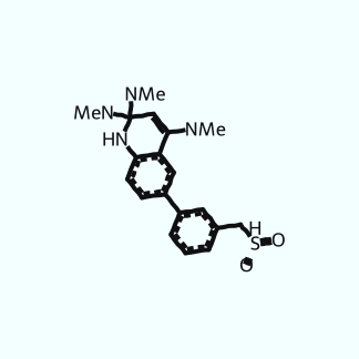 CNC1=CC(NC)(NC)Nc2ccc(-c3cccc(C[SH](=O)=O)c3)cc21